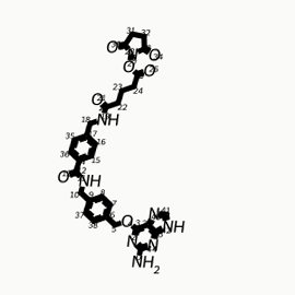 Nc1nc(OCc2ccc(CNC(=O)c3ccc(CNC(=O)CCCC(=O)ON4C(=O)CCC4=O)cc3)cc2)c2nc[nH]c2n1